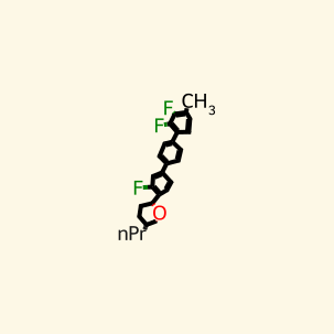 CCCC1CCC(c2ccc(-c3ccc(-c4ccc(C)c(F)c4F)cc3)cc2F)OC1